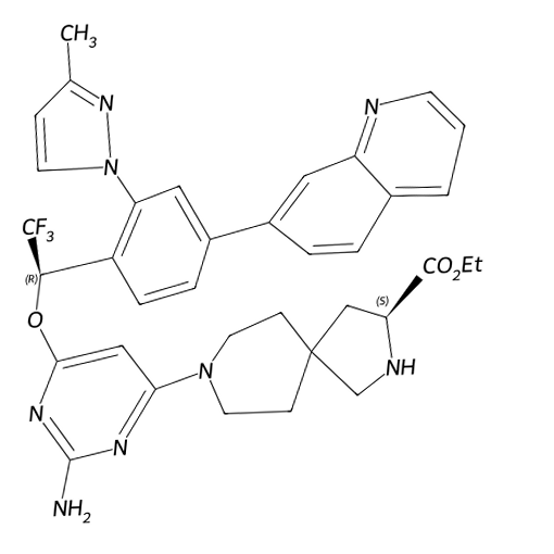 CCOC(=O)[C@@H]1CC2(CCN(c3cc(O[C@H](c4ccc(-c5ccc6cccnc6c5)cc4-n4ccc(C)n4)C(F)(F)F)nc(N)n3)CC2)CN1